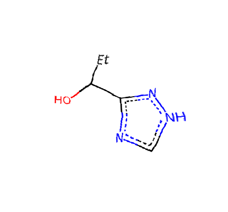 CCC(O)c1nc[nH]n1